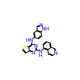 c1cc(Nc2nc(Nc3ccc4[nH]ncc4c3)c3sccc3n2)c2ccncc2c1